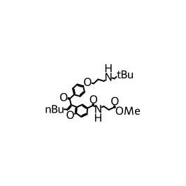 CCCCc1oc2ccc(C(=O)NCCC(=O)OC)cc2c1C(=O)c1ccc(OCCCNCC(C)(C)C)cc1